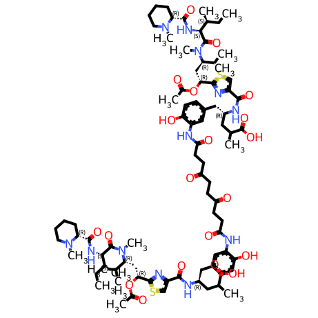 CC[C@H](C)[C@H](NC(=O)[C@H]1CCCCN1C)C(=O)N(C)[C@H](C[C@@H](OC(C)=O)c1nc(C(=O)N[C@@H](Cc2ccc(O)c(NC(=O)CCC(=O)CCC(=O)CCC(=O)Nc3cc(C[C@@H](CC(C)C(=O)O)NC(=O)c4csc([C@@H](C[C@H](C(C)C)N(C)C(=O)[C@@H](NC(=O)[C@H]5CCCCN5C)[C@@H](C)CC)OC(C)=O)n4)ccc3O)c2)CC(C)C(=O)O)cs1)C(C)C